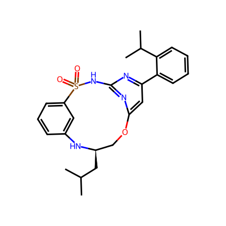 CC(C)C[C@@H]1COc2cc(-c3ccccc3C(C)C)nc(n2)NS(=O)(=O)c2cccc(c2)N1